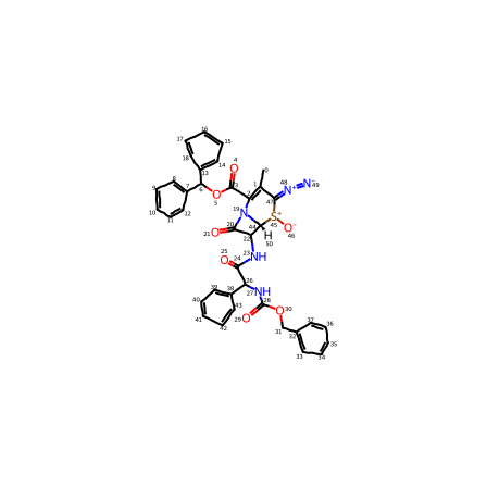 CC1=C(C(=O)OC(c2ccccc2)c2ccccc2)N2C(=O)C(NC(=O)C(NC(=O)OCc3ccccc3)c3ccccc3)[C@H]2[S+]([O-])C1=[N+]=[N-]